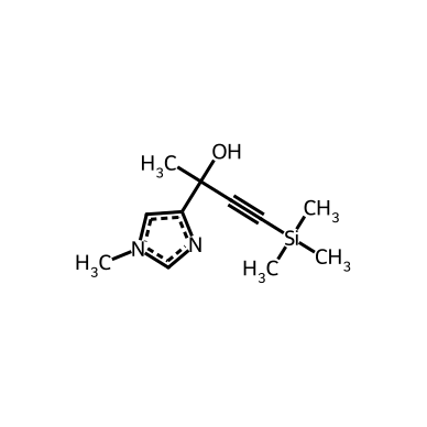 Cn1cnc(C(C)(O)C#C[Si](C)(C)C)c1